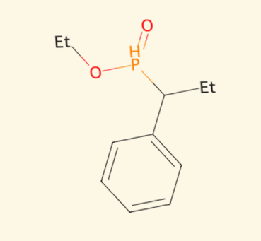 CCO[PH](=O)C(CC)c1ccccc1